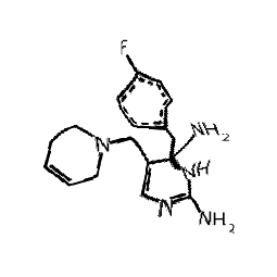 NC1=NC=C(CN2CC=CCC2)C(N)(c2ccc(F)cc2)N1